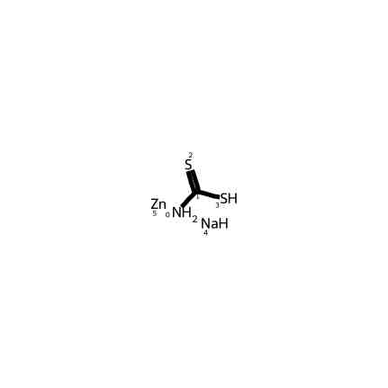 NC(=S)S.[NaH].[Zn]